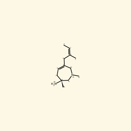 C/C=C(/C)CC1=CC[C@@](C)(N)CN(C)C1